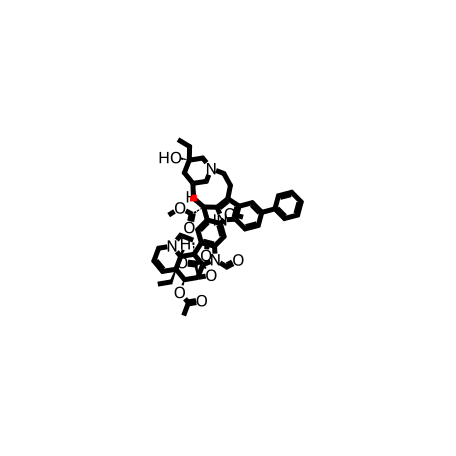 CC[C@]1(O)C[C@H]2CN(CCc3c([nH]c4ccc(-c5ccccc5)cc34)[C@@](C(=O)OC)(c3cc4c(cc3OC)N(C=O)[C@@]35O[C@]3(C(=O)OC)[C@H](OC(C)=O)[C@]3(CC)C=CCN6CC[C@]45[C@@H]63)C2)C1